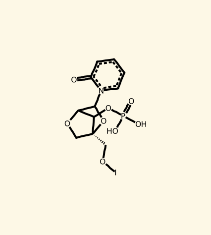 O=c1ccccn1C1O[C@@]2(COI)COC1C2OP(=O)(O)O